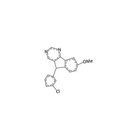 COc1ccc2c(c1)-c1ncncc1C2c1cccc(Cl)c1